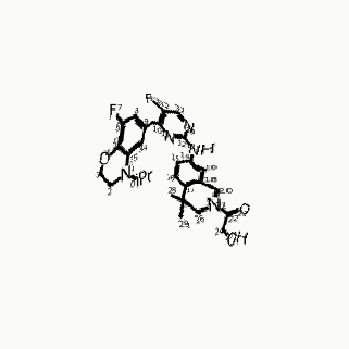 CC(C)N1CCOc2c(F)cc(-c3nc(Nc4ccc5c(c4)CN(C(=O)CO)CC5(C)C)ncc3F)cc21